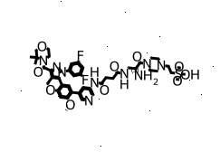 COc1cc2c(cc1-c1cncc(NC(=O)CCC(=O)NC[C@H](N)C(=O)N3CCN(CCS(=O)(=O)O)CC3)c1)-c1c(c(C(=O)N3CCOCC3(C)C)nn1-c1cc(F)cc(F)c1)CO2